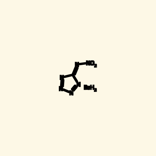 O=[N+]([O-])N=C1N=NN=N1.[BaH2]